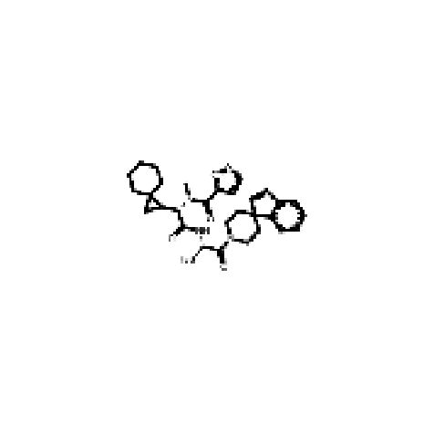 CC[C@H](C)[C@H](NC(=O)[C@H](C1CC12CCCCC2)N(C)C(=O)c1ccno1)C(=O)N1CCC2(C=Cc3ccccc32)CC1